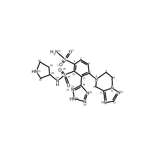 NS(=O)(=O)c1ccc(N2CCn3ncnc3C2)c(-c2nn[nH]n2)c1S(=O)(=O)NC1CCNC1